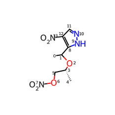 CC(O[C@H](C)CO[N+](=O)[O-])c1[nH]ncc1[N+](=O)[O-]